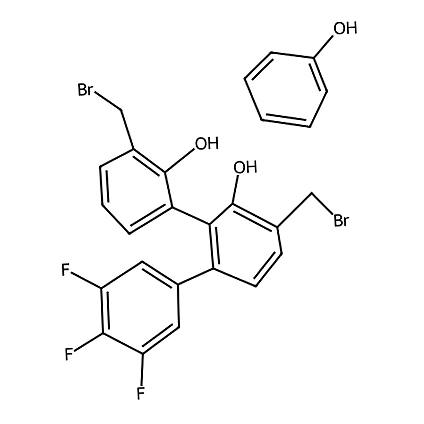 Oc1c(CBr)cccc1-c1c(-c2cc(F)c(F)c(F)c2)ccc(CBr)c1O.Oc1ccccc1